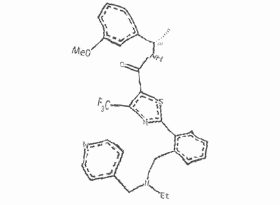 CCN(Cc1ccncc1)Cc1ccccc1-c1nc(C(F)(F)F)c(C(=O)N[C@@H](C)c2cccc(OC)c2)s1